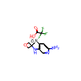 CC1(Nc2cnc(N)cc2[N+](=O)[O-])COC1.O=C(O)C(F)(F)F